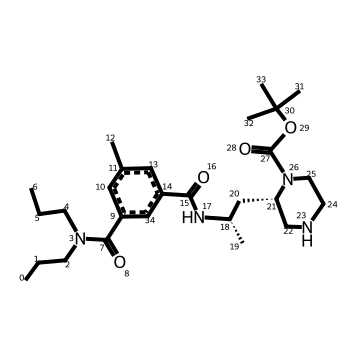 CCCN(CCC)C(=O)c1cc(C)cc(C(=O)N[C@@H](C)C[C@H]2CNCCN2C(=O)OC(C)(C)C)c1